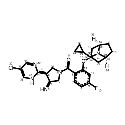 N=C1CN(C(=O)c2ccc(F)cc2O[C@H]2C[C@H]3CC[C@@H](C2)N3CC2CC2)C/C1=C1\N=CC(Cl)=CN1